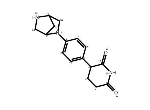 O=C1CCC(c2ccc(N3CC4CC3CN4)cc2)C(=O)N1